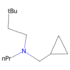 CCCN(CCC(C)(C)C)CC1CC1